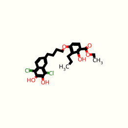 CCCc1c(OCCCCc2ccc3c(Cl)c(O)c(O)c(Cl)c3c2)ccc(C(=O)OCC)c1O